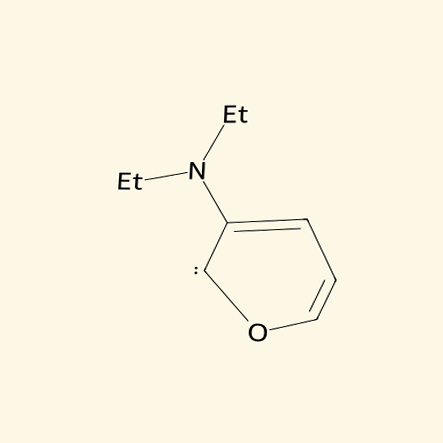 CCN(CC)C1=CC=CO[C]1